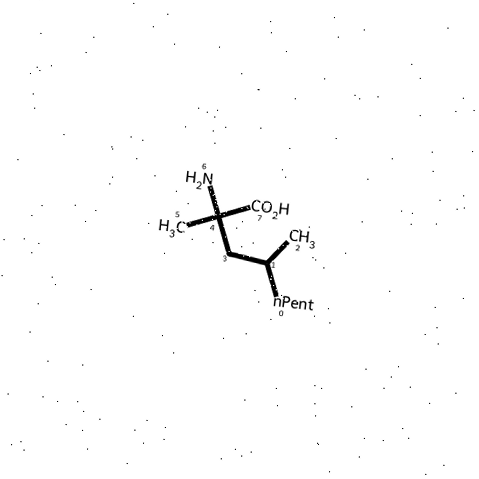 CCCCCC(C)CC(C)(N)C(=O)O